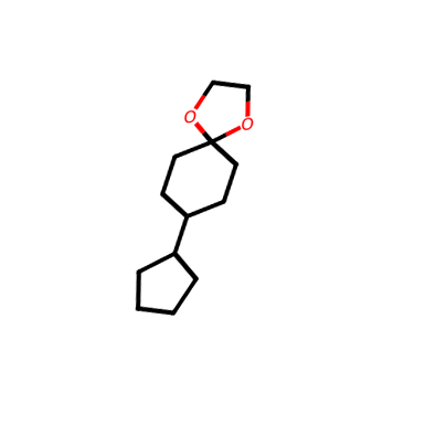 C1CCC(C2CCC3(CC2)OCCO3)C1